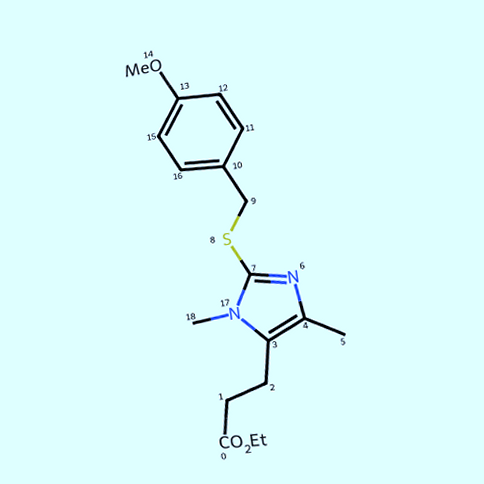 CCOC(=O)CCc1c(C)nc(SCc2ccc(OC)cc2)n1C